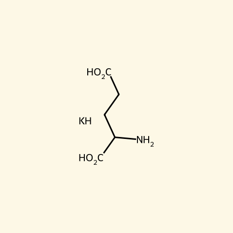 NC(CCC(=O)O)C(=O)O.[KH]